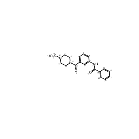 O=C(Nc1cccc(C(=O)N2CCN(C(=O)O)CC2)c1)c1ccccc1